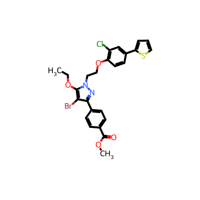 CCOc1c(Br)c(-c2ccc(C(=O)OC)cc2)nn1CCOc1ccc(-c2cccs2)cc1Cl